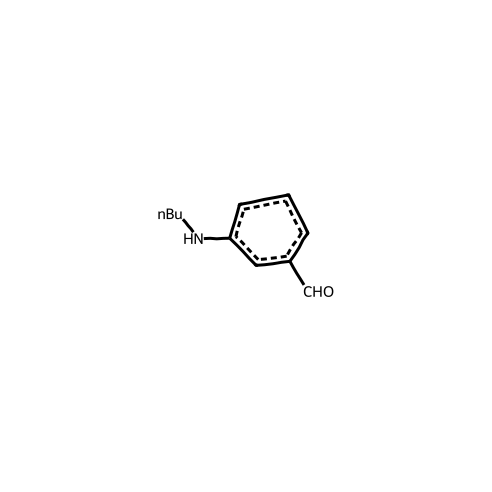 CCCCNc1cccc(C=O)c1